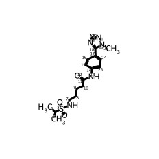 CC(C)S(=O)(=O)NCCCCC(=O)Nc1ccc(-c2nnnn2C)cc1